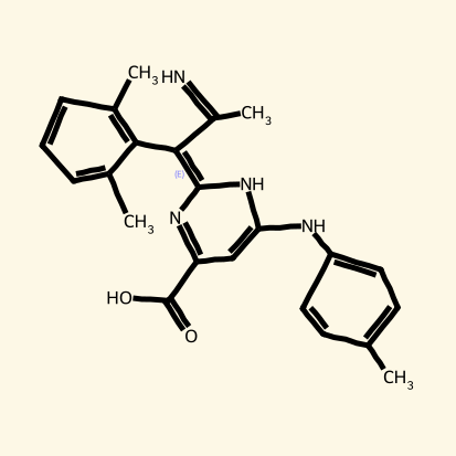 CC(=N)/C(=C1/N=C(C(=O)O)C=C(Nc2ccc(C)cc2)N1)c1c(C)cccc1C